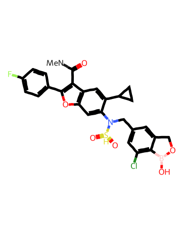 CNC(=O)c1c(-c2ccc(F)cc2)oc2cc(N(Cc3cc(Cl)c4c(c3)COB4O)[SH](=O)=O)c(C3CC3)cc12